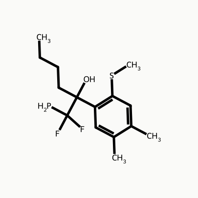 CCCCC(O)(c1cc(C)c(C)cc1SC)C(F)(F)P